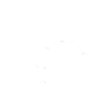 COC(=O)c1cc2sc(=N)n(N)c2cc1OC.O=P(O)(c1ccccc1)c1ccccc1